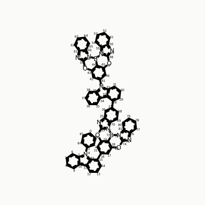 c1ccc(-n2c3ccccc3c3cccc(-c4cc5c6c(c4)Oc4nc7cc(-c8cccc9c8c8ccccc8n9-c8cc9c%10c(c8)Oc8nc%11ccccc%11n8B%10n8c(nc%10ccccc%108)O9)ccc7n4B6n4c(nc6ccccc64)O5)c32)cc1